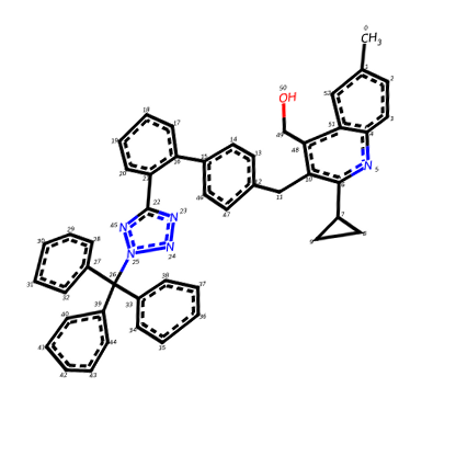 Cc1ccc2nc(C3CC3)c(Cc3ccc(-c4ccccc4-c4nnn(C(c5ccccc5)(c5ccccc5)c5ccccc5)n4)cc3)c(CO)c2c1